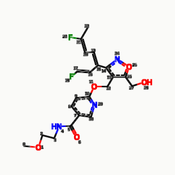 COCCNC(=O)c1ccc(OCc2c(C(/C=C/F)=C/C=C(\C)F)noc2CO)nc1